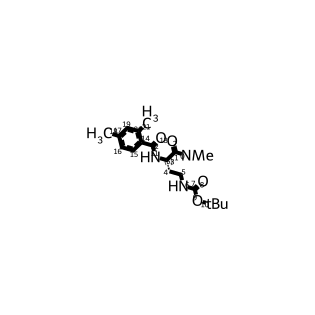 CNC(=O)[C@H](CCNC(=O)OC(C)(C)C)NC(=O)c1ccc(C)cc1C